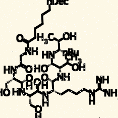 CCCCCCCCCCCCCCCC(=O)NCC(=O)N[C@@H](CO)[C@H](O)N[C@@H](CO)C(=O)N[C@@H](CCCCNC(=N)N)[C@H](O)N[C@@H](C(C)O)[C@H](O)N[C@@H](CCCC)[C@@H](C)O